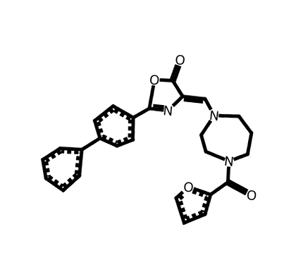 O=C1OC(c2ccc(-c3ccccc3)cc2)=N/C1=C\N1CCCN(C(=O)c2ccco2)CC1